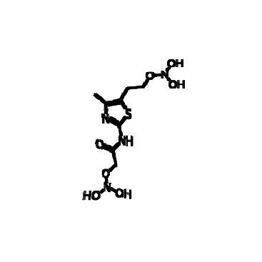 Cc1nc(NC(=O)CON(O)O)sc1CCON(O)O